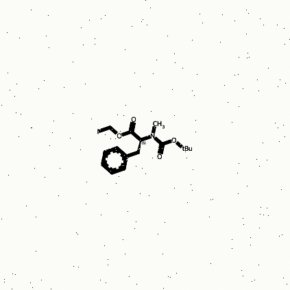 CN(C(=O)OC(C)(C)C)[C@@H](Cc1ccccc1)C(=O)OCI